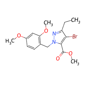 CCc1nn(Cc2ccc(OC)cc2OC)c(C(=O)OC)c1Br